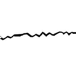 CCCC/C=C/C=C/CCCCCCCCCCCBr